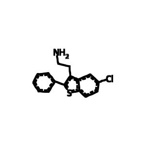 NCCc1c(-c2ccccc2)sc2ccc(Cl)cc12